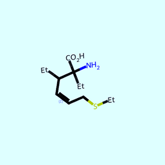 CCSC/C=C\C(CC)C(N)(CC)C(=O)O